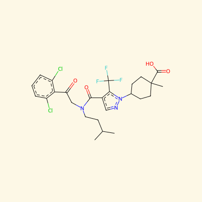 CC(C)CCN(CC(=O)c1c(Cl)cccc1Cl)C(=O)c1cnn(C2CCC(C)(C(=O)O)CC2)c1C(F)(F)F